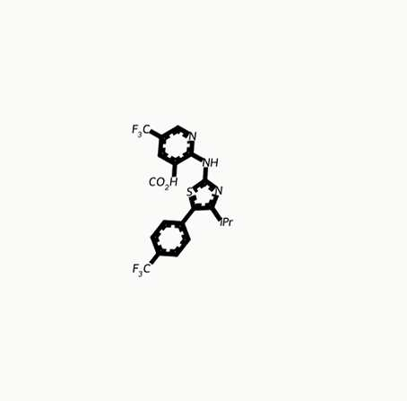 CC(C)c1nc(Nc2ncc(C(F)(F)F)cc2C(=O)O)sc1-c1ccc(C(F)(F)F)cc1